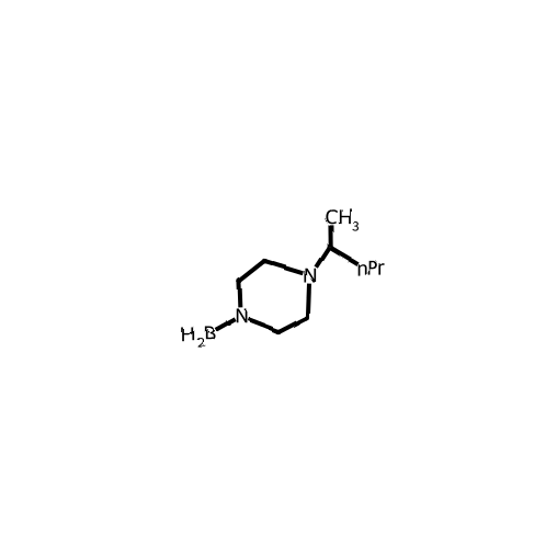 BN1CCN(C(C)CCC)CC1